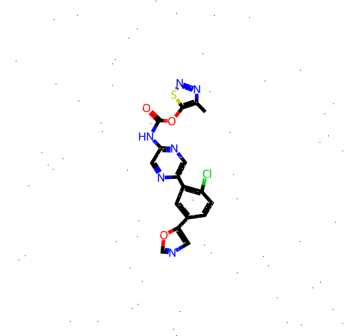 Cc1nnsc1OC(=O)Nc1cnc(-c2cc(-c3cnco3)ccc2Cl)cn1